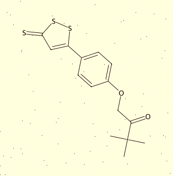 CC(C)(C)C(=O)COc1ccc(-c2cc(=S)ss2)cc1